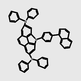 c1ccc(N(c2ccccc2)c2cc3ccc4cc(N(c5ccccc5)c5ccccc5)cc5c4c3c(c2)n5-c2ccc(-c3cccc4ccccc34)cc2)cc1